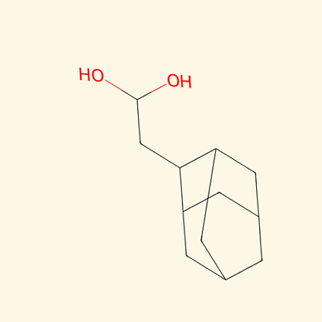 OC(O)CC1C2CC3CC(C2)CC1C3